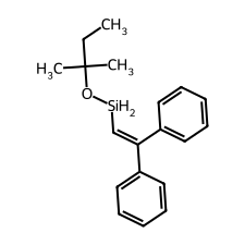 CCC(C)(C)O[SiH2]C=C(c1ccccc1)c1ccccc1